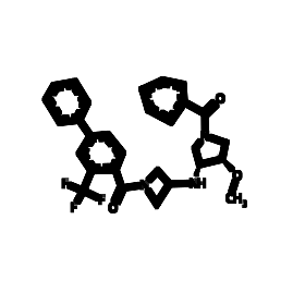 CO[C@@H]1CN(C(=O)c2ccccc2)C[C@H]1NC1CN(C(=O)c2ccc(-c3ccccc3)cc2C(F)(F)F)C1